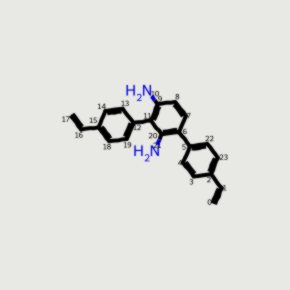 C=Cc1ccc(-c2ccc(N)c(-c3ccc(C=C)cc3)c2N)cc1